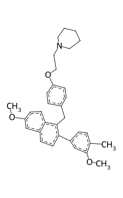 COc1ccc2c(Cc3ccc(OCCN4CCCCC4)cc3)c(-c3ccc(C)c(OC)c3)ccc2c1